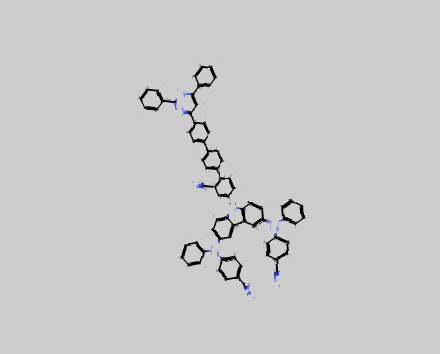 N#Cc1ccc(N(c2ccccc2)c2ccc3c(c2)c2cc(N(c4ccccc4)c4ccc(C#N)cc4)ccc2n3-c2ccc(-c3ccc(-c4ccc(-c5cc(-c6ccccc6)nc(-c6ccccc6)n5)cc4)cc3)c(C#N)c2)cc1